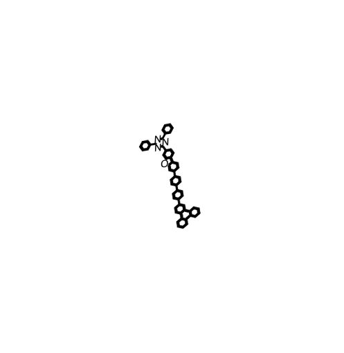 c1ccc(-c2nc(-c3ccccc3)nc(-c3ccc4c(c3)oc3cc(-c5ccc(-c6ccc(-c7ccc8c9ccccc9c9ccccc9c8c7)cc6)cc5)ccc34)n2)cc1